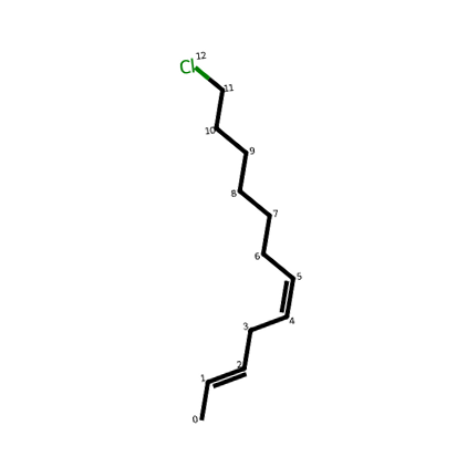 C/C=C/C/C=C\CCCCCCCl